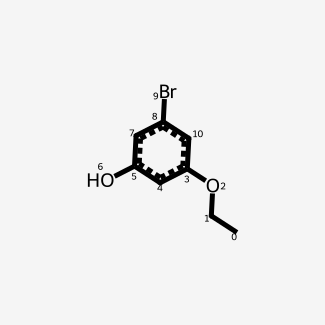 CCOc1cc(O)cc(Br)c1